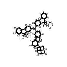 CC1(C)c2ccccc2-c2ccc(N(c3ccc4c(c3)C(C)(C)c3ccccc3-4)c3ccc4oc5c(C67CC8CC9CC(C6)C987)cccc5c4c3)cc21